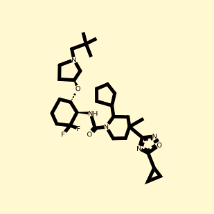 CC(C)(C)CN1CC[C@H](O[C@H]2CCCC(F)(F)[C@@H]2NC(=O)N2CCC(C)(c3noc(C4CC4)n3)CC2C2CCCC2)C1